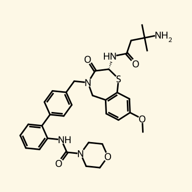 COc1ccc2c(c1)S[C@@H](NC(=O)CC(C)(C)N)C(=O)N(Cc1ccc(-c3ccccc3NC(=O)N3CCOCC3)cc1)C2